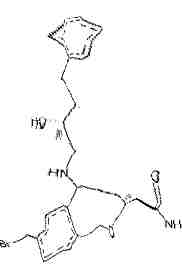 NC(=O)[C@@H]1CC(NC[C@H](O)[CH]Cc2ccccc2)c2cc(Br)ccc2O1